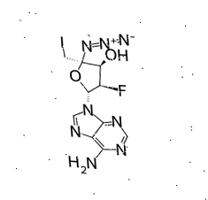 [N-]=[N+]=N[C@]1(CI)O[C@@H](n2cnc3c(N)ncnc32)[C@H](F)[C@@H]1O